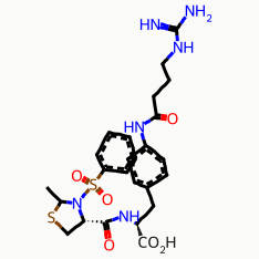 CC1SC[C@@H](C(=O)N[C@@H](Cc2ccc(NC(=O)CCCNC(=N)N)cc2)C(=O)O)N1S(=O)(=O)c1ccccc1